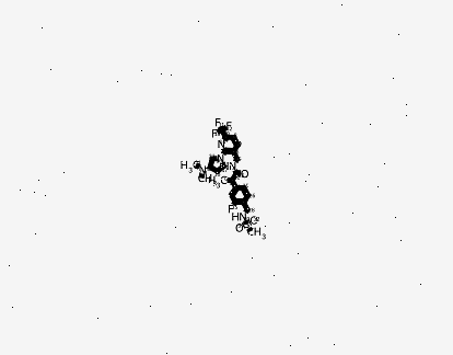 CC(C(=O)NCc1ccc(C(F)(F)F)nc1N1CC[C@H](N(C)C)C1)c1ccc(CNS(C)(=O)=O)c(F)c1